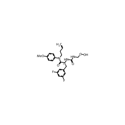 C=CCCN(C(=O)[C@H](Cc1cc(F)cc(F)c1)NC(=O)NCOO)c1ccc(OC)cc1